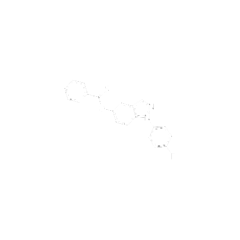 Fc1ccc(-n2ncc3cc(OC(=S)c4ccccc4)ccc32)cc1